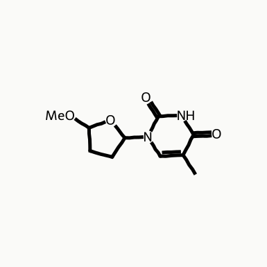 COC1CCC(n2cc(C)c(=O)[nH]c2=O)O1